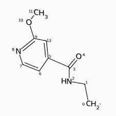 [CH2]CNC(=O)c1ccnc(OC)c1